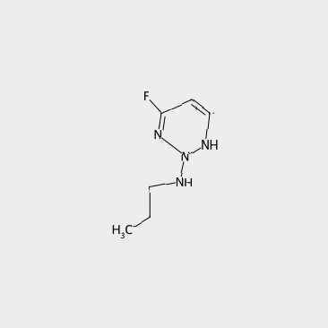 CCCNN1N=C(F)C=[C]N1